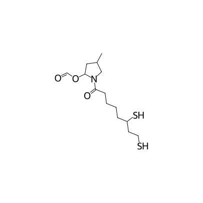 CC1CC(OC=O)N(C(=O)CCCCC(S)CCS)C1